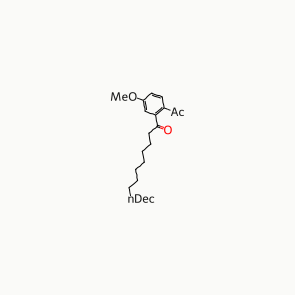 CCCCCCCCCCCCCCCCCC(=O)c1cc(OC)ccc1C(C)=O